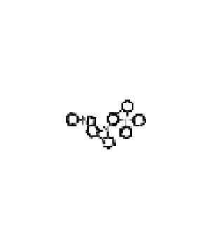 c1ccc(-n2ccc3c2ccc2c4ccccc4n(-c4ccc5c(c4)C(c4ccccc4)(c4ccccc4)c4ccccc4-5)c23)cc1